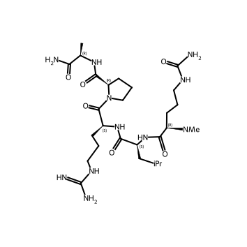 CN[C@H](CCCNC(N)=O)C(=O)N[C@@H](CC(C)C)C(=O)N[C@@H](CCCNC(=N)N)C(=O)N1CCC[C@@H]1C(=O)N[C@H](C)C(N)=O